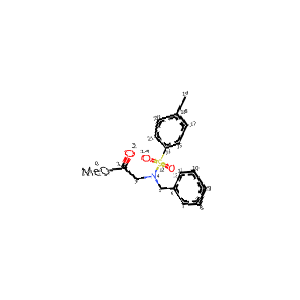 COC(=O)CN(Cc1ccccc1)S(=O)(=O)c1ccc(C)cc1